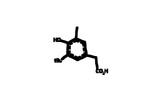 Cc1cc(CC(=O)O)cc(C(C)(C)C)c1O